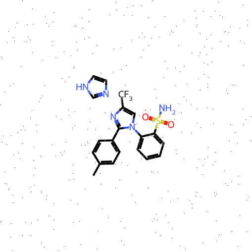 Cc1ccc(-c2nc(C(F)(F)F)cn2-c2ccccc2S(N)(=O)=O)cc1.c1c[nH]cn1